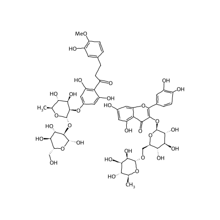 COc1ccc(CCC(=O)c2c(O)cc(O[C@H]3[C@H](O[C@@H]4[C@@H](O)[C@H](O)[C@@H](CO)O[C@H]4O)O[C@@H](C)[C@H](O)[C@H]3O)cc2O)cc1O.C[C@@H]1O[C@@H](OC[C@H]2O[C@@H](Oc3c(-c4ccc(O)c(O)c4)oc4cc(O)cc(O)c4c3=O)[C@H](O)[C@@H](O)[C@@H]2O)[C@H](O)[C@H](O)[C@H]1O